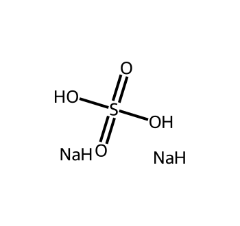 O=S(=O)(O)O.[NaH].[NaH]